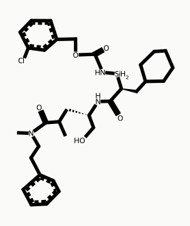 CC(C[C@@H](CO)NC(=O)[C@H](CC1CCCCC1)[SiH2]NC(=O)OCc1cccc(Cl)c1)C(=O)N(C)CCc1ccccc1